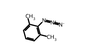 Cc1cccc(C)c1N=[N+]=[N-]